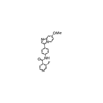 COc1ccn2c(-c3ccc(NC(=O)c4ccncc4F)cc3)cnc2c1